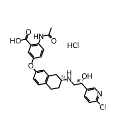 CC(=O)Nc1ccc(Oc2ccc3c(c2)C[C@@H](NC[C@H](O)c2ccc(Cl)nc2)CC3)cc1C(=O)O.Cl